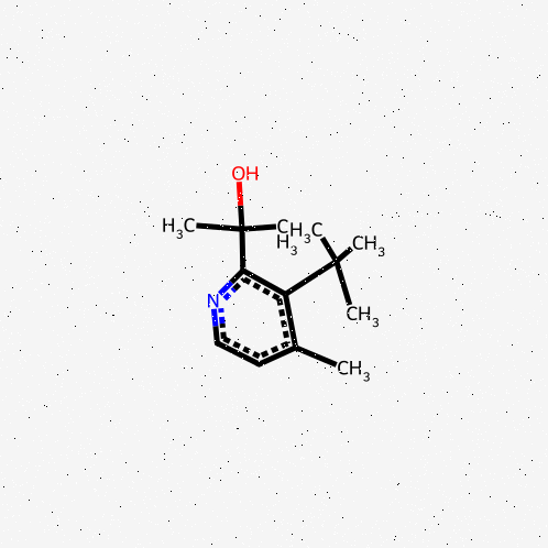 Cc1ccnc(C(C)(C)O)c1C(C)(C)C